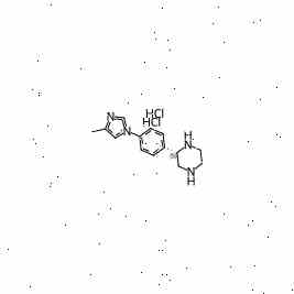 Cc1cn(-c2ccc([C@H]3CNCCN3)cc2)cn1.Cl.Cl